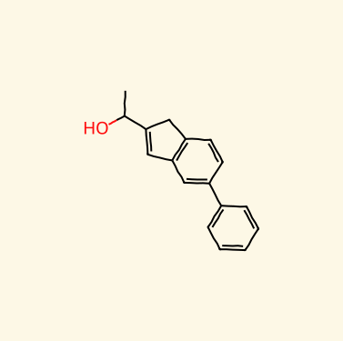 CC(O)C1=Cc2cc(-c3ccccc3)ccc2C1